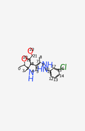 CCC1(C)NCC(=C(C)NNc2cccc(Cl)c2)C1C(=O)C=O